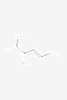 C[C@H](O)[C@@H](N)/C=C/C(=O)O